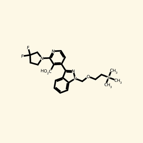 C[Si](C)(C)CCOCn1nc(-c2ccnc(N3CCC(F)(F)C3)c2C(=O)O)c2ccccc21